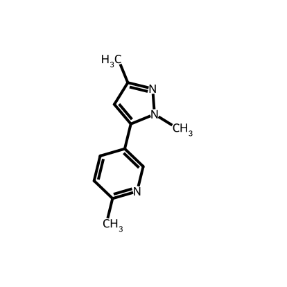 Cc1ccc(-c2cc(C)nn2C)cn1